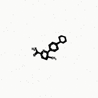 Cc1ccc(C(N)=O)nc1-c1ccc(C2CC[CH]CC2)cc1